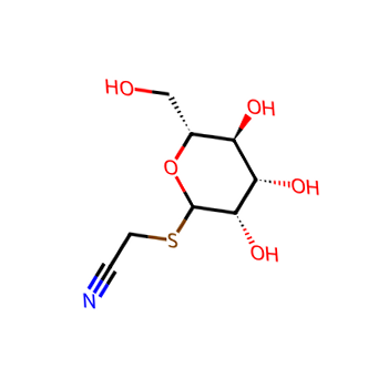 N#CCSC1O[C@H](CO)[C@@H](O)[C@H](O)[C@@H]1O